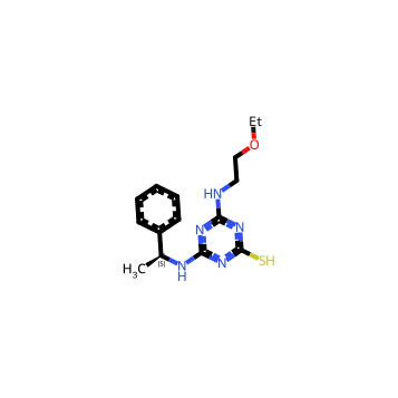 CCOCCNc1nc(S)nc(N[C@@H](C)c2ccccc2)n1